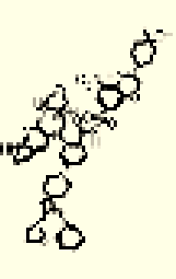 CCc1ccccc1[C@@H]1CCCN1C1CC2(CCN(c3ccc(C(=O)NS(=O)(=O)c4cc5c(c([N+](=O)[O-])c4)N[C@@H](C4CCC(C)(O)CC4)CO5)c(N4C[C@@H]5COC[C@@H]5Oc5nc6[nH]ccc6cc54)c3)CC2)C1